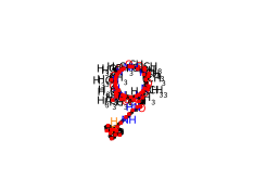 C/C=C/C[C@@H](C)[C@@H](O)[C@H]1C(=O)C[C@@H](CC)C(=O)N(C)C(Cc2ccc(C(=O)NCCCCCCNCCCCC[PH](c3ccccc3)(c3ccccc3)c3ccccc3)cc2)C(=O)N(C)[C@@H](CC(C)C)C(=O)C[C@@H](C(C)C)C(=O)N(C)[C@@H](CC(C)C)C(=O)C[C@@H](C)C(=O)N[C@H](C)C(=O)N(C)[C@@H](CC(C)C)C(=O)N(C)[C@@H](CC(C)C)C(=O)N(C)[C@@H](C(C)C)C(=O)N1C